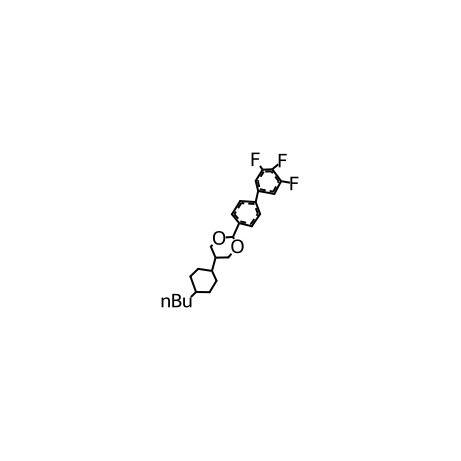 CCCCC1CCC(C2COC(c3ccc(-c4cc(F)c(F)c(F)c4)cc3)OC2)CC1